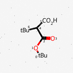 CC(C)(C)OC(=O)C(C(=O)O)C(C)(C)C